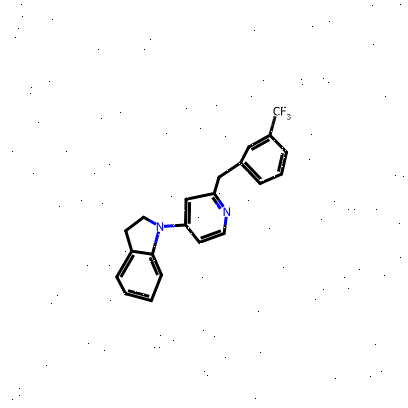 FC(F)(F)c1cccc(Cc2cc(N3CCc4ccccc43)ccn2)c1